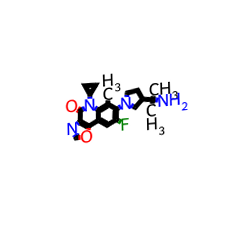 Cc1c(N2CCC(C(C)(C)N)C2)c(F)cc2c3ocnc3c(=O)n(C3CC3)c12